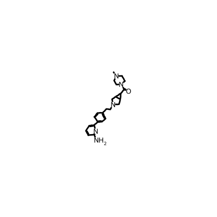 CN1CCN(C(=O)C2C3CN(CCc4ccc(-c5cccc(N)n5)cc4)CC32)CC1